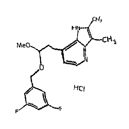 COC(Cc1ccnc2c(C)c(C)[nH]c12)OCc1cc(F)cc(F)c1.Cl